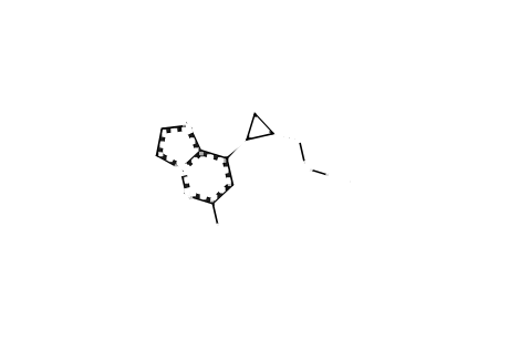 COC[C@H]1C[C@@H]1c1cc(Cl)nn2ccnc12